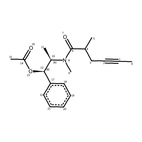 CC#CCC(C)C(=O)N(C)[C@H](C)[C@H](OC(C)=O)c1ccccc1